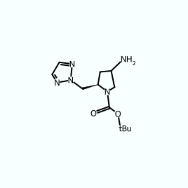 CC(C)(C)OC(=O)N1CC(N)C[C@@H]1Cn1nccn1